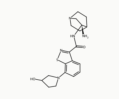 N[C@@]1(NC(=O)c2nsc3c(N4CCC(O)C4)cccc23)CN2CCC1CC2